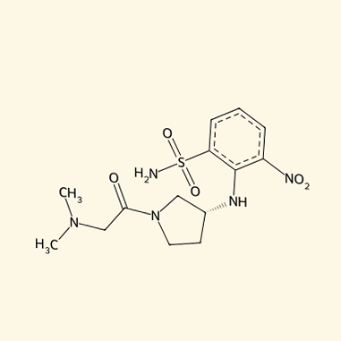 CN(C)CC(=O)N1CC[C@@H](Nc2c([N+](=O)[O-])cccc2S(N)(=O)=O)C1